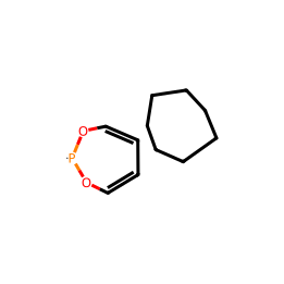 C1=CO[P]OC=C1.C1CCCCCC1